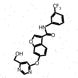 O=C(Nc1cccc(C(F)(F)F)c1)c1coc2cc(Oc3cc(CO)ncn3)ccc12